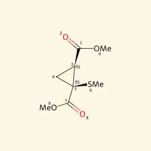 COC(=O)[C@@H]1C[C@@]1(SC)C(=O)OC